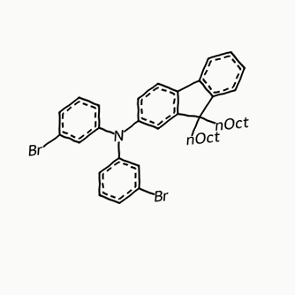 CCCCCCCCC1(CCCCCCCC)c2ccccc2-c2ccc(N(c3cccc(Br)c3)c3cccc(Br)c3)cc21